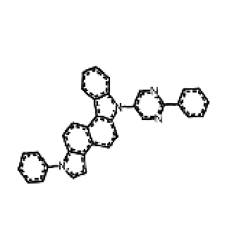 c1ccc(-c2ncc(-n3c4ccccc4c4c5ccc6c(ccn6-c6ccccc6)c5ccc43)cn2)cc1